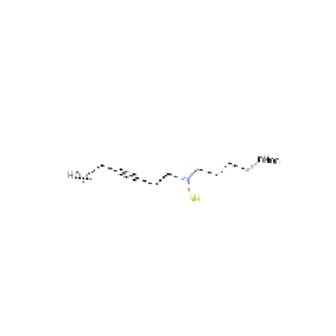 CCCCCCCCCCCCCN(S)CCC#CCC(=O)O